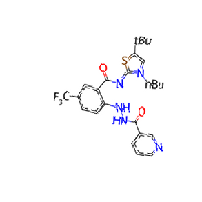 CCCCn1cc(C(C)(C)C)sc1=NC(=O)c1cc(C(F)(F)F)ccc1NNC(=O)c1cccnc1